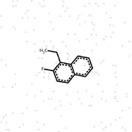 [CH2]Cc1c(F)ccc2ccccc12